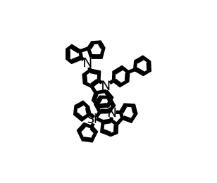 c1ccc(-c2ccc(-n3c4cc(-n5c6ccccc6c6ccccc65)ccc4c4ccc(-n5c6ccccc6c6cccc([Si](c7ccccc7)(c7ccccc7)c7ccccc7)c65)cc43)cc2)cc1